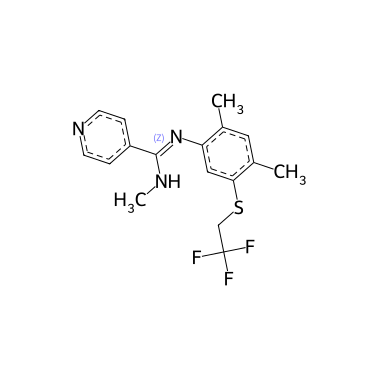 CN/C(=N\c1cc(SCC(F)(F)F)c(C)cc1C)c1ccncc1